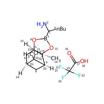 CCCCC(N)B1O[C@@H]2C[C@@H]3C[C@@H](C3(C)C)[C@]2(C)O1.O=C(O)C(F)(F)F